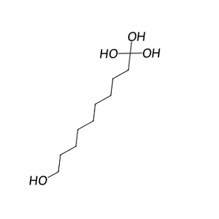 OCCCCCCCCCC(O)(O)O